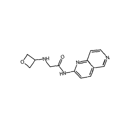 O=C(CNC1COC1)Nc1ccc2cnccc2n1